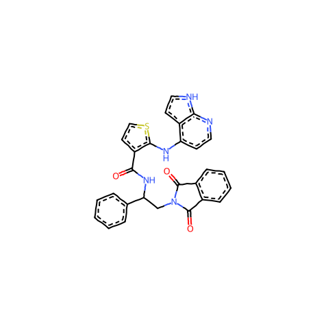 O=C(NC(CN1C(=O)c2ccccc2C1=O)c1ccccc1)c1ccsc1Nc1ccnc2[nH]ccc12